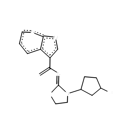 O=C(/N=C1\SCCN1C1CCC(O)C1)c1c[nH]c2ncccc12